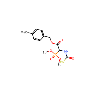 CCOP(=O)(OCC)C(NC(=O)S)C(=O)OCc1ccc(OC)cc1